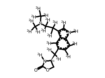 [2H]c1c(C([2H])([2H])[C@H]2COC(=O)N2[2H])c([2H])c2c(C([2H])([2H])C([2H])([2H])N(C([2H])([2H])[2H])C([2H])([2H])[2H])c([2H])n([2H])c2c1[2H]